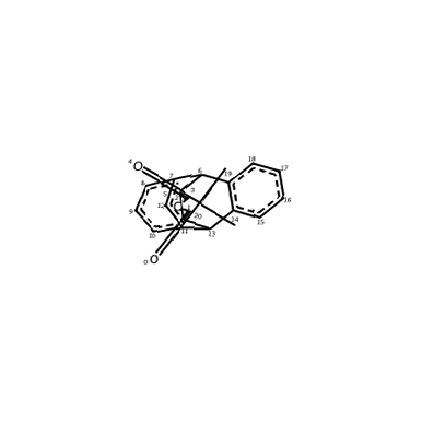 O=C1OC(=O)C2C3c4cccc(c4)C(c4ccccc43)C12